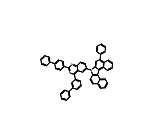 c1ccc(-c2ccc(-c3nc(-c4cccc(-c5ccccc5)c4)c4cc(-n5c6ccc7ccccc7c6c6c7ccccc7c(-c7ccccc7)cc65)ccc4n3)cc2)cc1